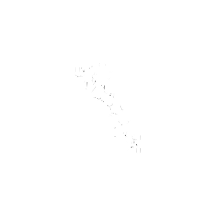 CC1CN(c2ccc(Nc3ncc4cc5n(c4n3)C3(CCCCC3)CNC5=O)nc2)CCN1CC(C)(C)O